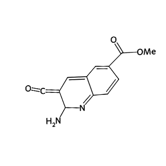 COC(=O)c1ccc2c(c1)=CC(=C=O)C(N)N=2